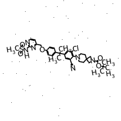 CC(C)(C)OC(=O)N1CC2(CCN(c3c(Cl)cc(C(C)(C)c4ccc(OCc5ccnc(NS(C)(=O)=O)n5)cc4)cc3C#N)CC2)C1